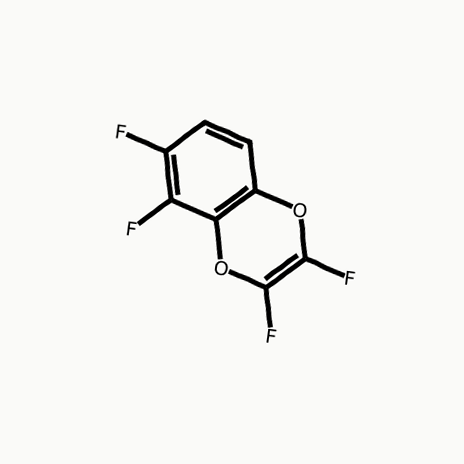 FC1=C(F)Oc2c(ccc(F)c2F)O1